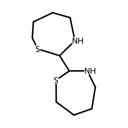 C1CCSC(C2NCCCCS2)NC1